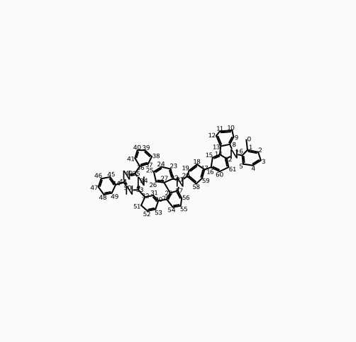 Cc1ccccc1-n1c2ccccc2c2cc(-c3ccc(-n4c5ccccc5c5c(C6=CC(c7nc(-c8ccccc8)nc(-c8ccccc8)n7)CC=C6)cccc54)cc3)ccc21